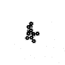 c1ccc(-c2cc(-c3ccccc3)cc(-c3nc(-c4ccccc4)cc(-c4ccc(-c5cccc6c5oc5ccccc56)c5oc6ccccc6c45)n3)c2)cc1